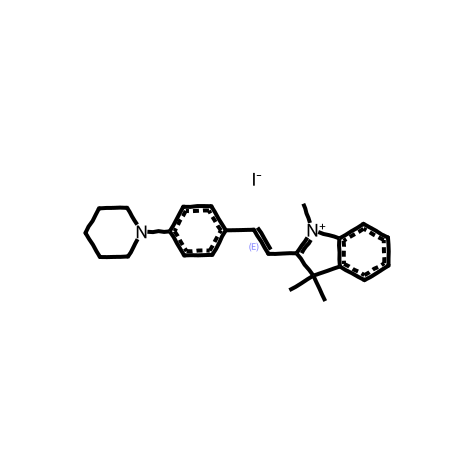 C[N+]1=C(/C=C/c2ccc(N3CCCCC3)cc2)C(C)(C)c2ccccc21.[I-]